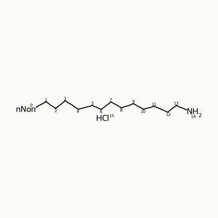 CCCCCCCCCCCCCCCCCCCCCCN.Cl